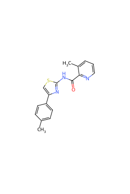 Cc1ccc(-c2csc(NC(=O)c3ncccc3C)n2)cc1